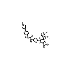 CN1CCN(c2ccc(NC(=O)Nc3ccc(C4=NC(CC(F)(F)F)(N5C[C@H]6C[C@@H]5CO6)C5=CNNC5=N4)cc3)cc2)CC1